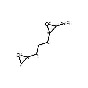 CCCC1OC1CCCC1CO1